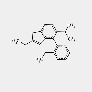 CCC1=Cc2c(ccc(C(C)C)c2-c2ccccc2CC)[CH]1